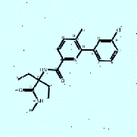 CCC(CC)(NC(=O)c1ccc(C)c(-c2cccc(Cl)c2)n1)C(=O)NC